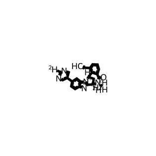 [2H]c1ncc(-c2ccc3nc4n(c3c2)[C@@H]2C[C@H]4N(C([2H])([2H])[2H])C(=O)c3cccc(C#C)c32)cn1